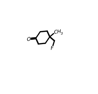 CC1(CF)CCC(=O)CC1